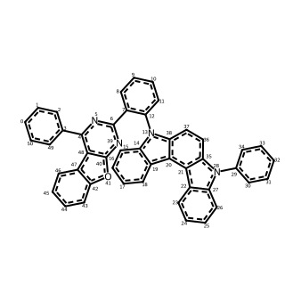 c1ccc(-c2nc(-c3ccccc3-n3c4ccccc4c4c5c6ccccc6n(-c6ccccc6)c5ccc43)nc3oc4ccccc4c23)cc1